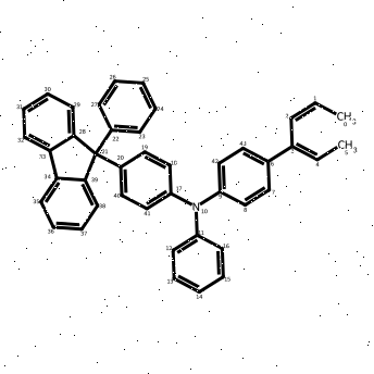 C/C=C\C(=C/C)c1ccc(N(c2ccccc2)c2ccc(C3(c4ccccc4)c4ccccc4-c4ccccc43)cc2)cc1